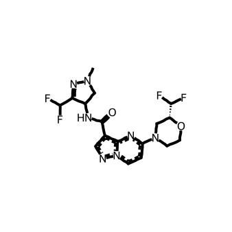 CN1CC(NC(=O)c2cnn3ccc(N4CCO[C@@H](C(F)F)C4)nc23)C(C(F)F)=N1